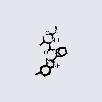 COC(=O)NC(C(=O)N1C2CCC(C2)C1c1nc2cc(C)ccc2[nH]1)C(C)C